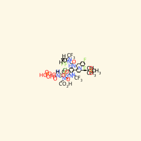 CC(C)(C#Cc1ccc(-c2ccc(Cl)c3c(N(C(=O)N(CCNC(=O)OCOP(=O)(O)O)CCC(=O)O)S(C)(=O)=O)nn(CC(F)(F)F)c23)c(C(Cc2cc(F)cc(F)c2)NC(=O)Cn2nc(C(F)(F)F)c3c2C(F)(F)[C@@H]2C[C@H]32)n1)S(C)(=O)=O